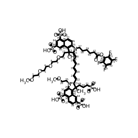 COCCOCCOCCOCCC1(C)\C(=C/C=C/C=C/C=C/C2=[N+](CCOC)c3cc(S(=O)(=O)O)c4ccc(S(=O)(=O)O)cc4c3C2(C)CCCS(=O)(=O)O)N(CCCCCC(=O)Oc2c(F)c(F)cc(F)c2F)c2ccc3c(S(=O)(=O)O)cc(S(=O)(=O)O)cc3c21